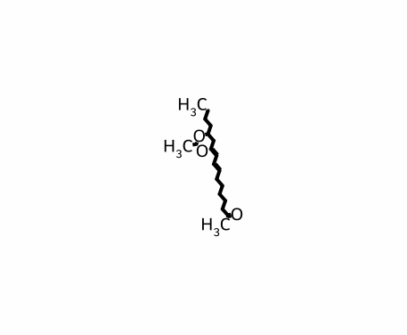 CCCCC(CC=CC=CCCCCCC(C)=O)OC(C)=O